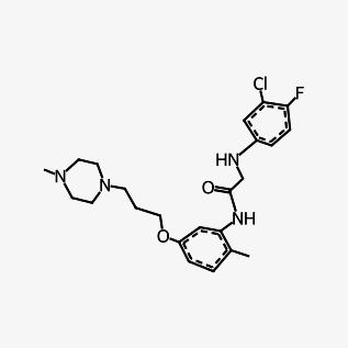 Cc1ccc(OCCCN2CCN(C)CC2)cc1NC(=O)CNc1ccc(F)c(Cl)c1